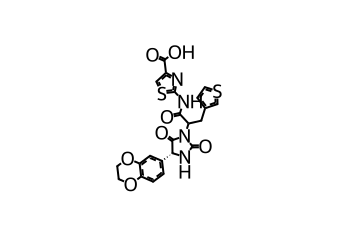 O=C(O)c1csc(NC(=O)C(Cc2ccsc2)N2C(=O)N[C@H](c3ccc4c(c3)OCCO4)C2=O)n1